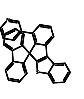 c1cncc(-c2cccc3c2C2(c4ccccc4-c4ccccc42)c2sc4ccccc4c2-3)c1